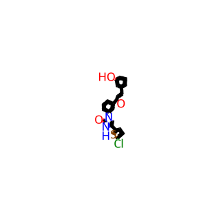 O=C(C=Cc1cccc(O)c1)c1cccc(-n2cc(-c3ccc(Cl)s3)[nH]c2=O)c1